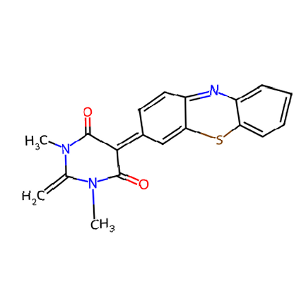 C=c1n(C)c(=O)c(=c2ccc3c(c2)Sc2ccccc2N=3)c(=O)n1C